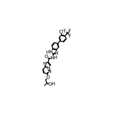 C[C@H](O)COc1ccc2nc(C(=O)Nc3nc4cc(-c5ccc(C(F)(F)F)c(Cl)c5)ccc4[nH]3)cn2n1